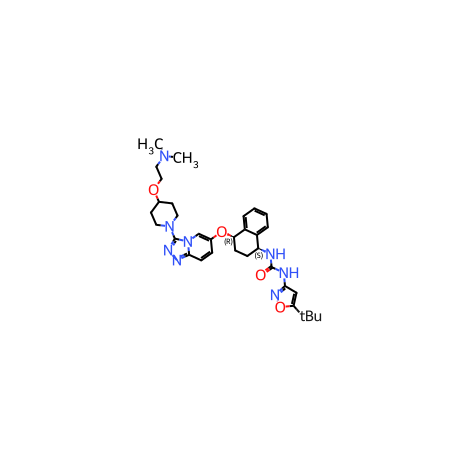 CN(C)CCOC1CCN(c2nnc3ccc(O[C@@H]4CC[C@H](NC(=O)Nc5cc(C(C)(C)C)on5)c5ccccc54)cn23)CC1